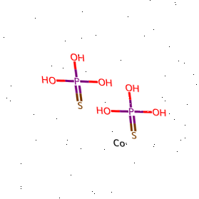 OP(O)(O)=S.OP(O)(O)=S.[Co]